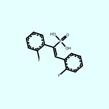 O=P(O)(O)C(=Cc1ccccc1F)c1ccccc1F